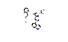 CCOC(=O)Cc1c(C)cccc1OCc1cn(C2CCOC2)c2ncc(-c3cccc4c(N)nccc34)cc12